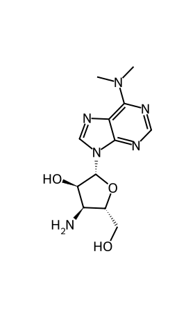 CN(C)c1ncnc2c1ncn2[C@@H]1O[C@H](CO)[C@@H](N)[C@H]1O